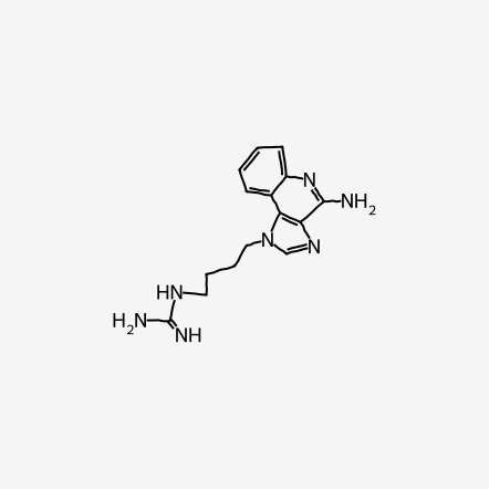 N=C(N)NCCCCn1cnc2c(N)nc3ccccc3c21